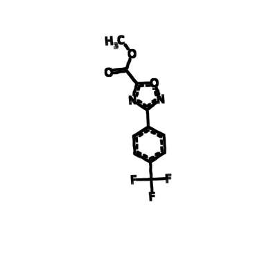 COC(=O)c1nc(-c2ccc(C(F)(F)F)cc2)no1